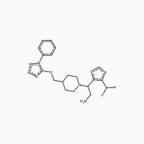 NCC(c1scnc1C(F)F)N1CCC(COc2nnnn2-c2ccccc2)CC1